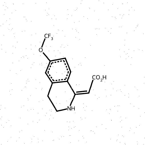 O=C(O)/C=C1/NCCc2cc(OC(F)(F)F)ccc21